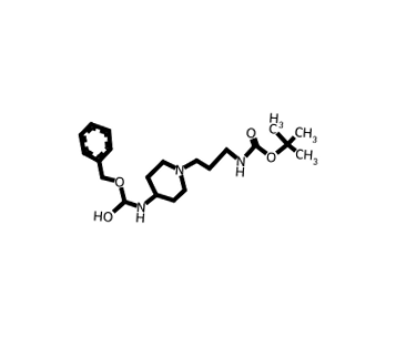 CC(C)(C)OC(=O)NCCCN1CCC(NC(O)OCc2ccccc2)CC1